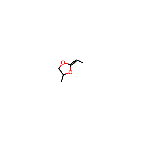 CC=C1OCC(C)O1